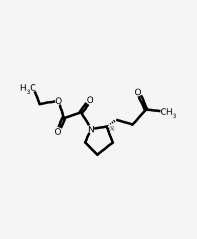 CCOC(=O)C(=O)N1CCC[C@H]1CCC(C)=O